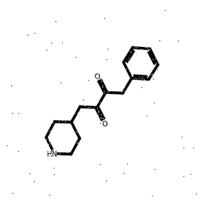 O=C(Cc1ccccc1)C(=O)CC1CCNCC1